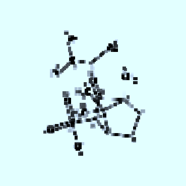 CC(=O)C[S+](C(C)C)C(C)C.CC12CCC(C(S(=O)(=O)[O-])C1=O)C2(C)C